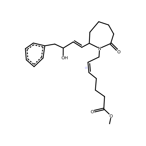 COC(=O)CCC/C=C\CN1C(=O)CCCCC1C=CC(O)Cc1ccccc1